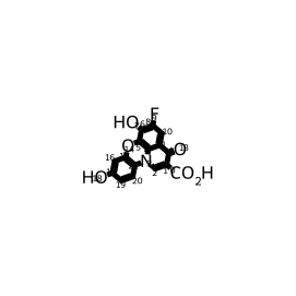 O=C(O)c1cn2c3c(c(O)c(F)cc3c1=O)Oc1cc(O)ccc1-2